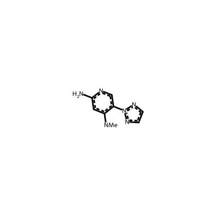 CNc1cc(N)ncc1-n1nccn1